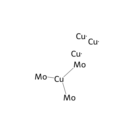 [Cu].[Cu].[Cu].[Mo][Cu]([Mo])[Mo]